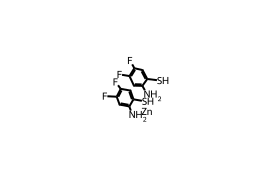 Nc1cc(F)c(F)cc1S.Nc1cc(F)c(F)cc1S.[Zn]